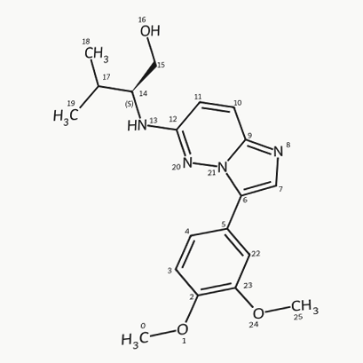 COc1ccc(-c2cnc3ccc(N[C@H](CO)C(C)C)nn23)cc1OC